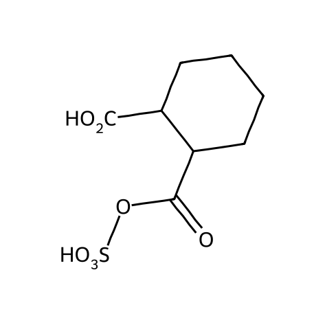 O=C(O)C1CCCCC1C(=O)OS(=O)(=O)O